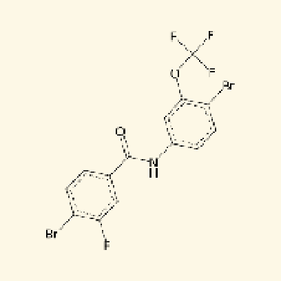 O=C(Nc1ccc(Br)c(OC(F)(F)F)c1)c1ccc(Br)c(F)c1